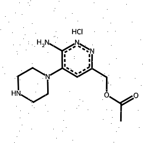 CC(=O)OCc1cc(N2CCNCC2)c(N)nn1.Cl